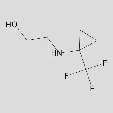 OCCNC1(C(F)(F)F)CC1